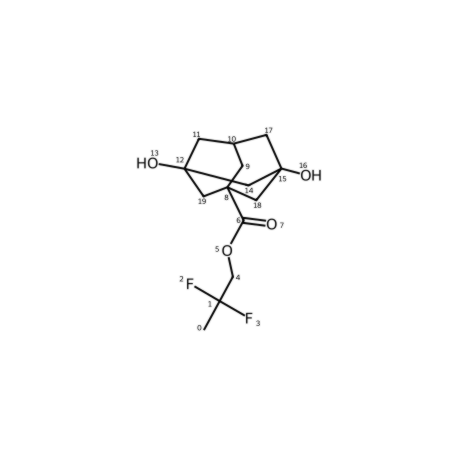 CC(F)(F)COC(=O)C12CC3CC(O)(CC(O)(C3)C1)C2